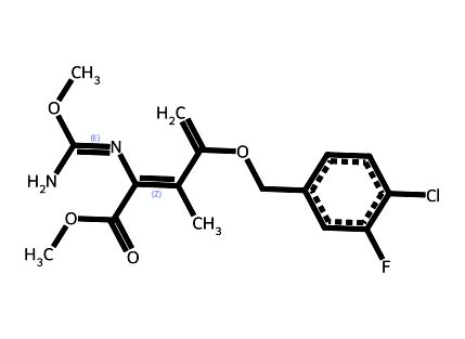 C=C(OCc1ccc(Cl)c(F)c1)/C(C)=C(\N=C(/N)OC)C(=O)OC